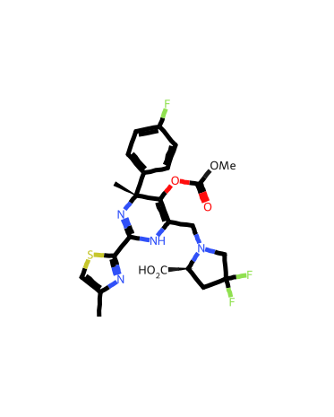 COC(=O)OC1=C(CN2CC(F)(F)C[C@H]2C(=O)O)NC(c2nc(C)cs2)=N[C@]1(C)c1ccc(F)cc1